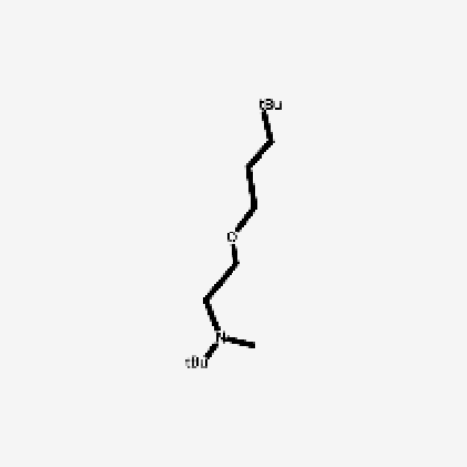 CN(CCOCCCC(C)(C)C)C(C)(C)C